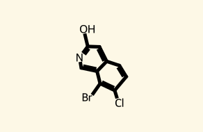 Oc1cc2ccc(Cl)c(Br)c2cn1